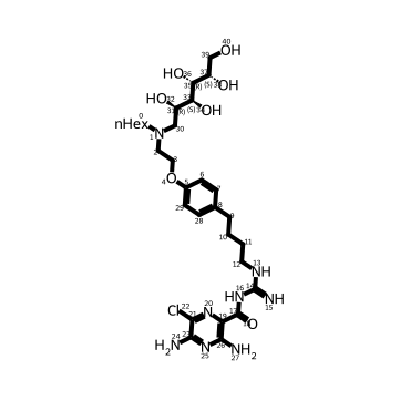 CCCCCCN(CCOc1ccc(CCCCNC(=N)NC(=O)c2nc(Cl)c(N)nc2N)cc1)C[C@@H](O)[C@H](O)[C@H](O)[C@@H](O)CO